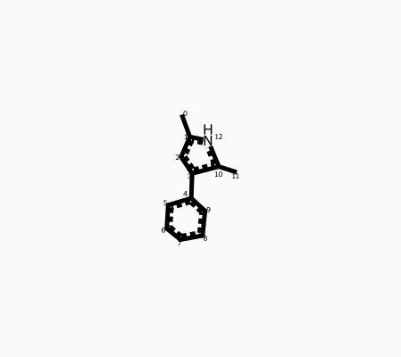 Cc1[c]c(-c2ccccc2)c(C)[nH]1